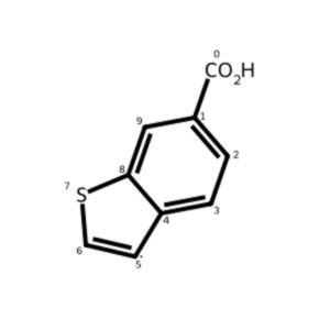 O=C(O)c1ccc2[c]csc2c1